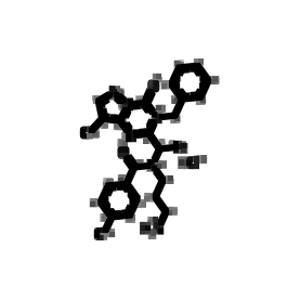 CCC(c1nc2c(Cl)cnn2c(=O)n1Cc1ccccc1)N(CCCN)C(=O)c1ccc(Cl)cc1.Cl